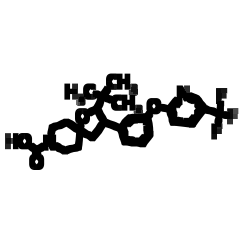 CC(C)(C)C1OC2(CCN(C(=O)O)CC2)CC1c1cccc(Oc2ccc(C(F)(F)F)cn2)c1